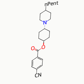 CCCCCC1CCN([C@H]2CC[C@H](OC(=O)c3ccc(C#N)cc3)CC2)CC1